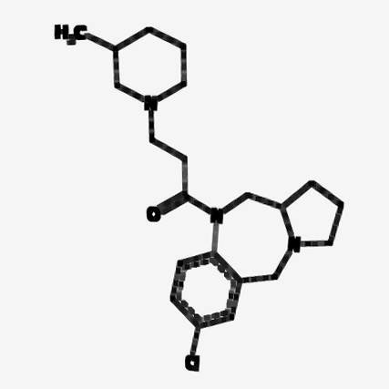 CC1CCCN(CCC(=O)N2CC3CCCN3Cc3cc(Cl)ccc32)C1